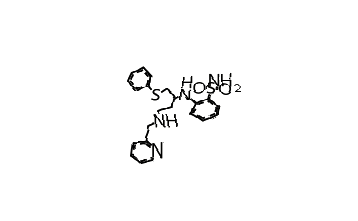 NS(=O)(=O)c1ccccc1NC(CCNCc1ccccn1)CSc1ccccc1